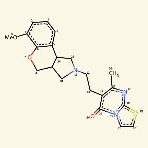 COc1cccc2c1OCC1CN(CCc3c(C)nc4sccn4c3=O)CC21